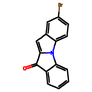 O=C1c2ccccc2-n2c1cc1cc(Br)ccc12